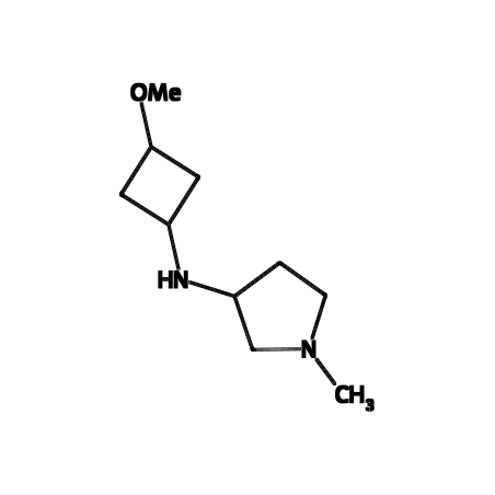 COC1CC(NC2CCN(C)C2)C1